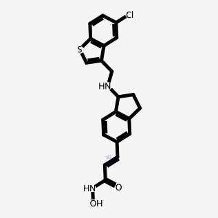 O=C(/C=C/c1ccc2c(c1)CCC2NCc1csc2ccc(Cl)cc12)NO